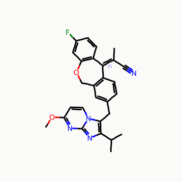 COc1ccn2c(Cc3ccc4c(c3)COc3cc(F)ccc3/C4=C(\C)C#N)c(C(C)C)nc2n1